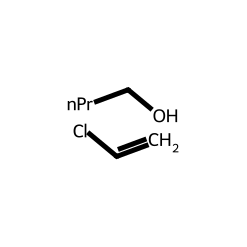 C=CCl.CCCCO